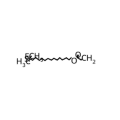 C=CC(=O)OCCCCCCCCCCCCCC[Si](C)(C)F